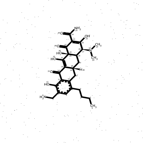 CCCCc1cc(CN)c(O)c2c1C[C@H]1CC3[C@H](N(C)C)C(O)=C(C(N)=O)C(=O)[C@@]3(O)C(O)=C1C2=O